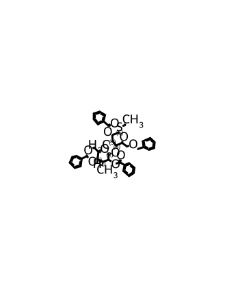 CCS[C@@H]1OC(COCc2ccccc2)[C@@H](O[C@@H]2OC3COC(c4ccccc4)O[C@H]3[C@H](C)C2OC(=O)c2ccccc2)[C@H](C)C1OC(=O)c1ccccc1